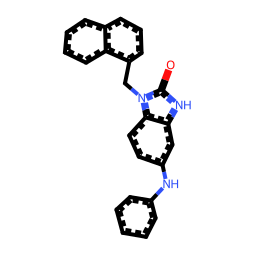 O=c1[nH]c2cc(Nc3ccccc3)ccc2n1Cc1cccc2ccccc12